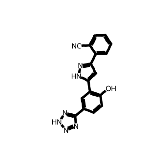 N#Cc1ccccc1-c1cc(-c2cc(-c3nn[nH]n3)ccc2O)[nH]n1